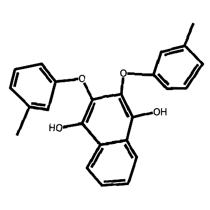 Cc1cccc(Oc2c(Oc3cccc(C)c3)c(O)c3ccccc3c2O)c1